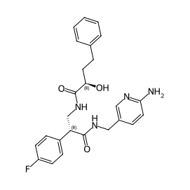 Nc1ccc(CNC(=O)[C@@H](CNC(=O)[C@H](O)CCc2ccccc2)c2ccc(F)cc2)cn1